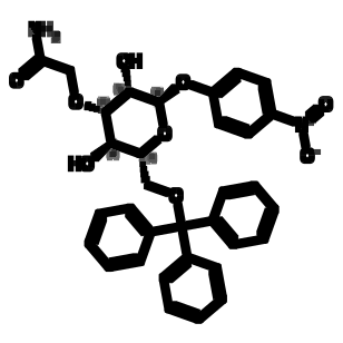 NC(=O)CO[C@@H]1[C@H](O)[C@@H](Oc2ccc([N+](=O)[O-])cc2)O[C@H](COC(c2ccccc2)(c2ccccc2)c2ccccc2)[C@H]1O